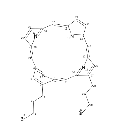 BrCCCC1=CC2=NC1=CC1=NC(=CC3=NC(=CC4=NC(=C2)C=C4)C=C3)C=C1CCCBr